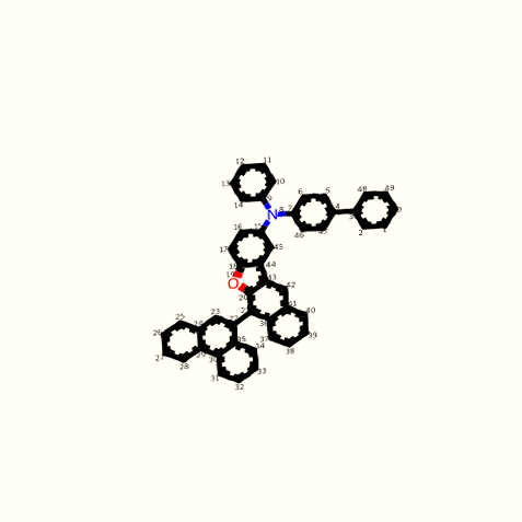 c1ccc(-c2ccc(N(c3ccccc3)c3ccc4oc5c(-c6cc7ccccc7c7ccccc67)c6ccccc6cc5c4c3)cc2)cc1